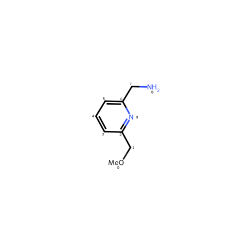 COCc1cccc(CN)n1